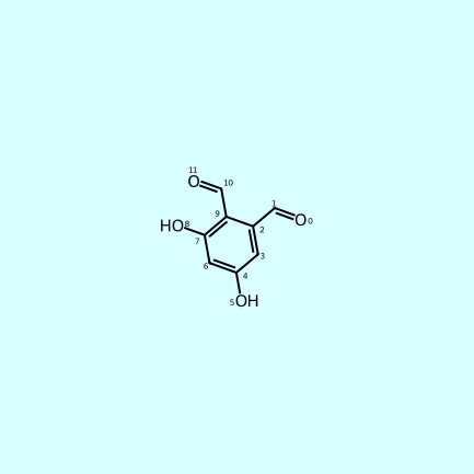 O=Cc1cc(O)cc(O)c1C=O